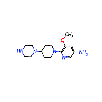 COc1cc(N)cnc1N1CCC(N2CCNCC2)CC1